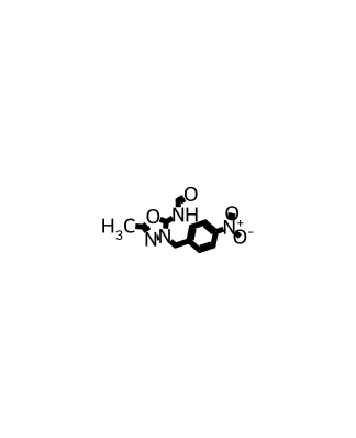 CC1=NN(Cc2ccc([N+](=O)[O-])cc2)C(NC=O)O1